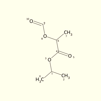 CC(C)OC(=O)C(C)O[C]=O